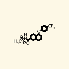 CS(=O)(=O)NC(=O)C1CCC2C(CCCC2Oc2ccc(C(F)(F)F)cc2)C1